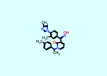 Cc1ccc(C(C)n2cccc(/C(=N/O)c3ccc(-n4cnc(C)c4)c(C)c3)c2=O)cc1